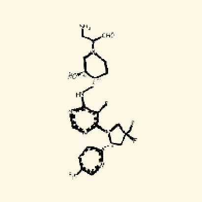 NCC(C=O)N1CC[C@H](CNc2ncnc(N3CC(F)(F)C[C@@H]3c3ccc(C(F)(F)F)cn3)c2F)[C@@H](O)C1